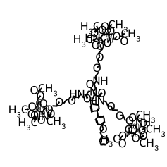 CC(=O)N[C@H]1[C@H](OCCOCCOCCNC(=O)CN(CC(=O)NCCOCCOCCO[C@@H]2O[C@H](COC(C)=O)[C@H](OC(C)=O)[C@H](OC(C)=O)[C@H]2NC(C)=O)C(Cc2ccc(-c3ccc(OCc4ccccc4)cc3)cc2)C(=O)NCCOCCOCCO[C@@H]2O[C@H](COC(C)=O)[C@H](OC(C)=O)[C@H](OC(C)=O)[C@H]2NC(C)=O)O[C@H](COC(C)=O)[C@H](OC(C)=O)[C@@H]1OC(C)=O